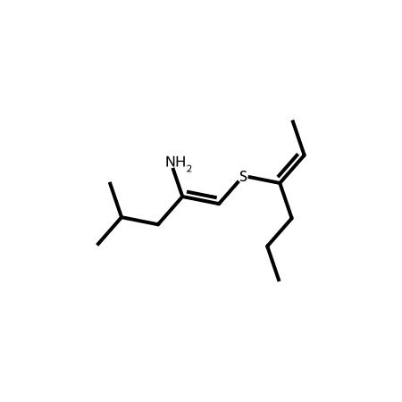 C/C=C(/CCC)S/C=C(\N)CC(C)C